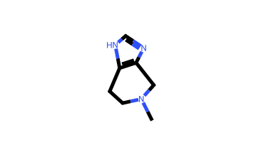 CN1CCc2[nH]cnc2C1